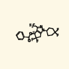 O=C(O[C@H]1c2c(C(F)(F)F)nn(C3CCC(F)(F)CC3)c2CC1(F)F)c1ccccc1